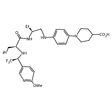 CC[C@@H](CNc1ccc(N2CCC(C(=O)O)CC2)cc1)NC(=O)[C@H](CC(C)C)N[C@@H](c1ccc(OC)nc1)C(F)(F)F